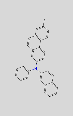 Cc1ccc2c(ccc3cc(N(c4ccccc4)c4ccc5ccccc5c4)ccc32)c1